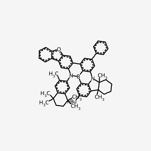 CCCCc1cc2c3c(c1)C1(C)CCCCC1(C)N3c1cc(-c3ccccc3)cc3c1B2N(c1cc2c(cc1C)C(C)(C)CCC2(C)C)c1cc2c(cc1-3)oc1ccccc12